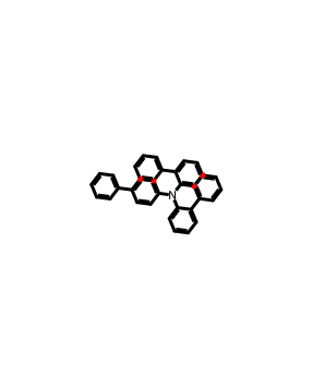 c1ccc(-c2ccc(N(c3ccccc3-c3ccccc3)c3ccccc3-c3ccccc3)cc2)cc1